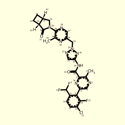 Cc1ncc(-c2c(C(F)F)ccc(Cl)c2F)nc1C(=O)Nc1cnn(Cc2cnc(N3C[C@H]4CC[C@H]4C3=O)c(C)n2)n1